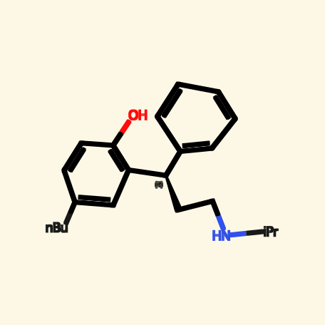 CCCCc1ccc(O)c([C@H](CCNC(C)C)c2ccccc2)c1